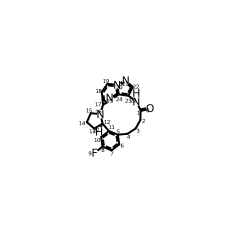 O=C1CCCc2ccc(F)cc2[C@@H]2CCCN2c2ccn3ncc(c3n2)N1